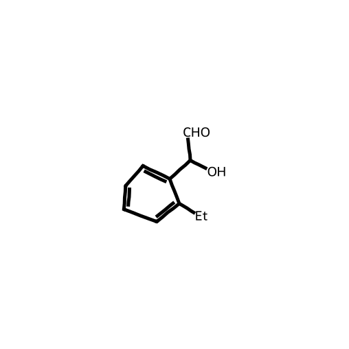 CCc1ccccc1C(O)C=O